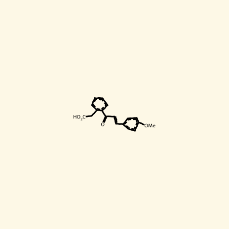 COc1ccc(C=CC(=O)c2ccccc2CC(=O)O)cc1